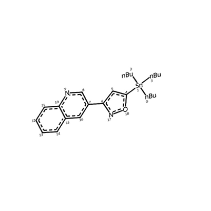 CCC[CH2][Sn]([CH2]CCC)([CH2]CCC)[c]1cc(-c2cnc3ccccc3c2)no1